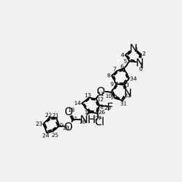 Cn1cncc1-c1ccc2c(Oc3ccc(NC(=O)Oc4ccccc4)c(Cl)c3F)ccnc2c1